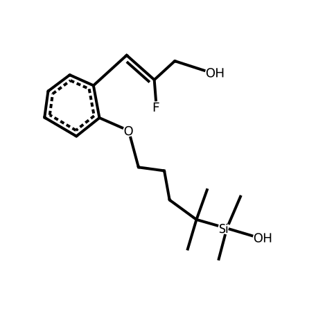 CC(C)(CCCOc1ccccc1/C=C(\F)CO)[Si](C)(C)O